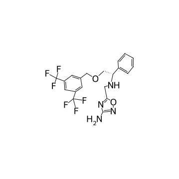 Nc1noc(CN[C@H](COCc2cc(C(F)(F)F)cc(C(F)(F)F)c2)c2ccccc2)n1